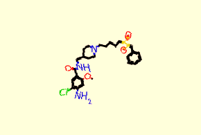 COc1cc(N)c(Cl)cc1C(=O)NCC1CCN(CCCCCS(=O)(=O)Cc2ccccc2)CC1